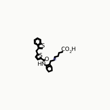 O=C(O)CCC/C=C/CC1C2CCC(C2)C1NC(=O)c1ccc(Cc2csc3ccccc23)s1